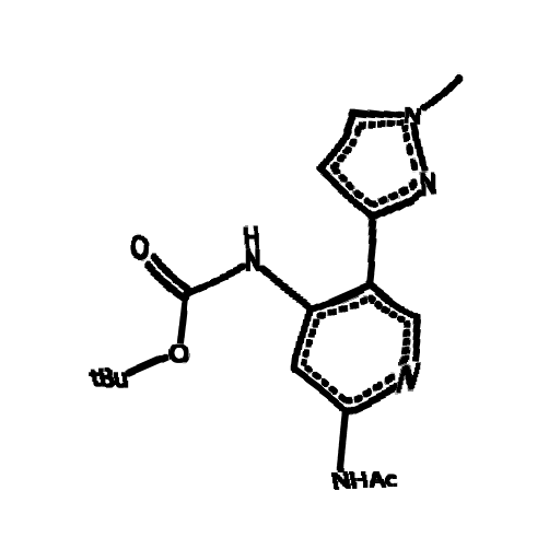 CC(=O)Nc1cc(NC(=O)OC(C)(C)C)c(-c2ccn(C)n2)cn1